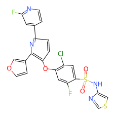 O=S(=O)(Nc1cscn1)c1cc(Cl)c(Oc2ccc(-c3ccnc(F)c3)nc2-c2ccoc2)cc1F